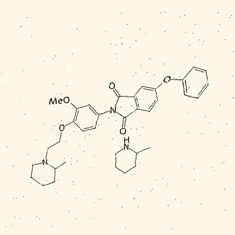 CC1CCCCN1.COc1cc(N2C(=O)c3ccc(Oc4ccccc4)cc3C2=O)ccc1OCCN1CCCCC1C